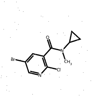 CN(C(=O)c1cc(Br)cnc1Cl)C1CC1